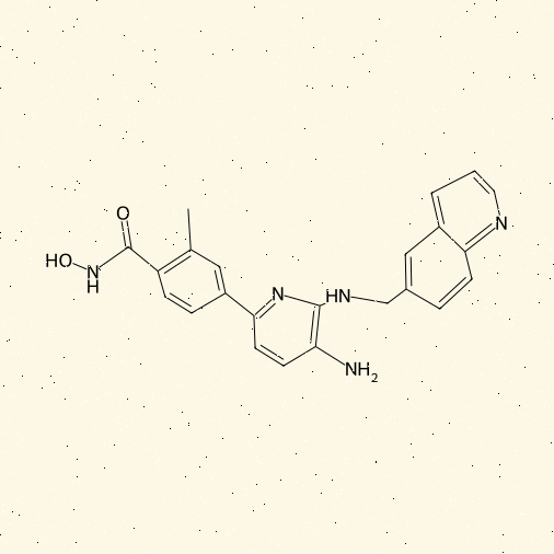 Cc1cc(-c2ccc(N)c(NCc3ccc4ncccc4c3)n2)ccc1C(=O)NO